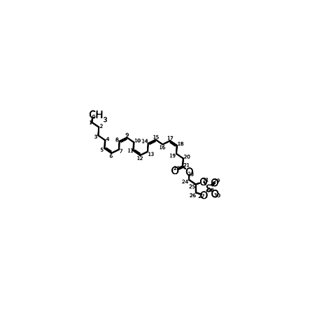 CCCCC/C=C\C/C=C\C/C=C\C/C=C\C/C=C\CCC(=O)OCC1COS(=O)(=O)O1